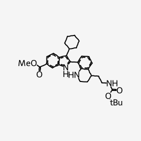 COC(=O)c1ccc2c(C3CCCCC3)c(-c3cccc4c3NCCC4CCNC(=O)OC(C)(C)C)[nH]c2c1